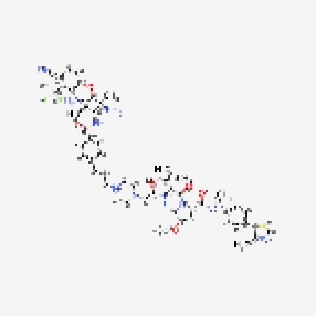 CO[C@@H]1C[C@@H](C(=O)N[C@@H](C)c2ccc(-c3scnc3C)cc2)N(C(=O)[C@@H](NC(=O)CN2CCN(CCCc3ccc(C(=O)N[C@H]4C(C)(N)[C@H](Oc5ccc(C#N)c(C(F)(F)F)c5)C4(C)N)cc3)CC2)C(C)(C)C)C1